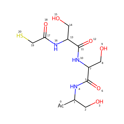 CC(=O)C(CO)NC(=O)C(CO)NC(=O)C(CO)NC(=O)CS